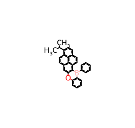 CC(C)c1ccc2ccc3c4c(cc5ccc1c2c53)Oc1ccccc1B4c1ccccc1